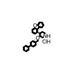 Cl.c1ccc(-c2ccc(CO[C@H]3CNCC[C@@H]3c3cccc4oc5ccccc5c34)cc2)cc1